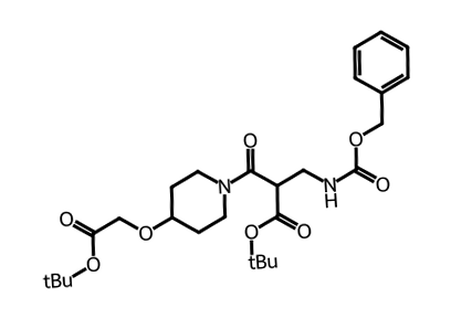 CC(C)(C)OC(=O)COC1CCN(C(=O)C(CNC(=O)OCc2ccccc2)C(=O)OC(C)(C)C)CC1